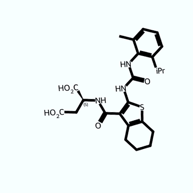 Cc1cccc(C(C)C)c1NC(=O)Nc1sc2c(c1C(=O)N[C@@H](CC(=O)O)C(=O)O)CCCC2